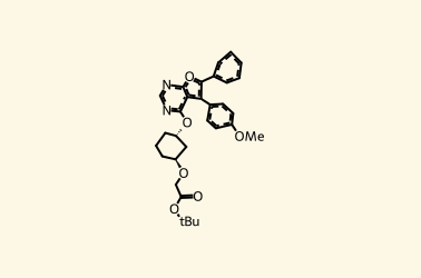 COc1ccc(-c2c(-c3ccccc3)oc3ncnc(O[C@H]4CCC[C@H](OCC(=O)OC(C)(C)C)C4)c23)cc1